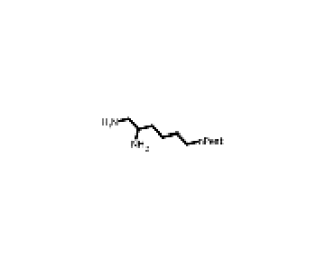 CCCCCCCCCC(N)CN